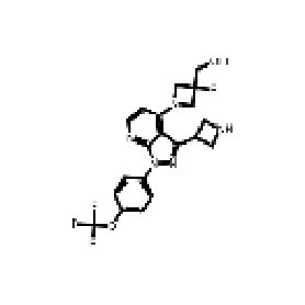 OCC1(F)CN(c2ccnc3c2c(C2CNC2)nn3-c2ccc(OC(F)(F)F)cc2)C1